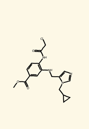 COC(=O)c1ccc(NC(=O)CCl)c(NCc2cncn2CC2CC2)c1